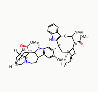 C/C=C1/CC2[C@H](C(=O)OC)C(NC)Cc3c([nH]c4ccccc34)[C@@H](c3cc4c(cc3OC)C3CCN5C[C@H]6C[C@H](CC)[C@H]5[C@@](C(=O)OC)(C6)C3N4)C[C@H]12